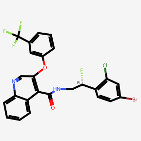 O=C(NC[C@H](F)c1ccc(Br)cc1Cl)c1c(Oc2cccc(C(F)(F)F)c2)cnc2ccccc12